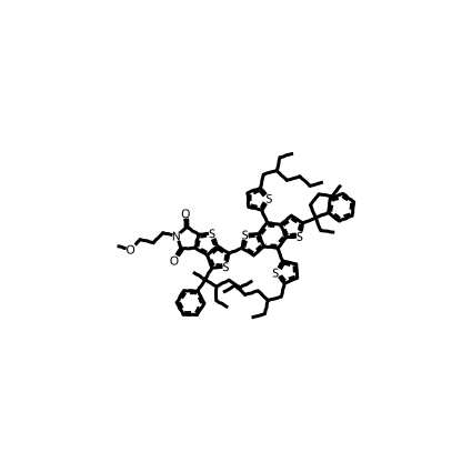 CCCCC(CC)Cc1ccc(-c2c3cc(C(CC)(CCCC)c4ccccc4)sc3c(-c3ccc(CC(CC)CCCC)s3)c3cc(-c4sc(C(C)(c5ccccc5)C(CC)CCC)c5c6c(sc45)C(=O)N(CCCOC)C6=O)sc23)s1